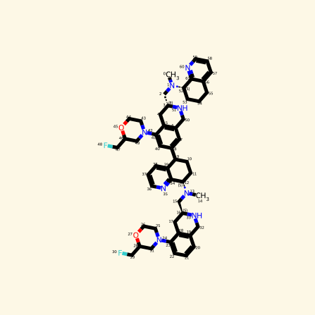 CN(C[C@H]1Cc2c(cc(C3CC[C@H](N(C)C[C@@H]4Cc5c(cccc5N5CCOC(CF)C5)CN4)c4ncccc43)cc2N2CCOC(CF)C2)CN1)[C@H]1CCCc2cccnc21